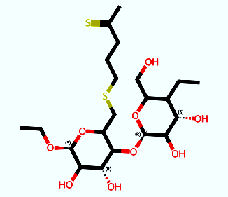 CCO[C@H]1OC(CSCCCC(C)=S)C(O[C@H]2OC(CO)C(CC)[C@H](O)C2O)[C@H](O)C1O